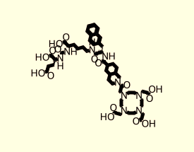 O=C(O)CC[C@H](NC(=O)NC(CCCCNC(=O)[C@H](Cc1ccc2ccccc2c1)NC(=O)C1CCC2CN(C(=O)CN3CCN(CC(=O)O)CCN(CC(=O)O)CCN(CC(=O)O)CC3)CCC2C1)C(=O)O)C(=O)O